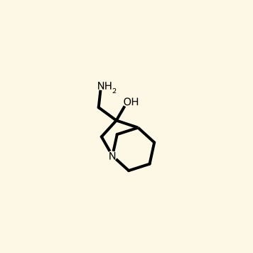 NCC1(O)CN2CCCC1C2